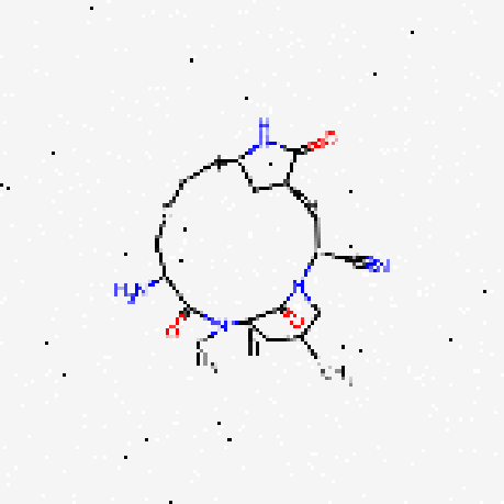 CC1C[C@H]2C(=O)N(C1)[C@H](C#N)C[C@@H]1C[C@@H](CCCC[C@H](N)C(=O)N2C)NC1=O